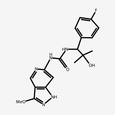 COc1n[nH]c2cc(NC(=O)NC(c3ccc(F)cc3)C(C)(C)O)ncc12